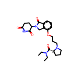 CCN(CC)C(=O)[C@H]1CCCN1CCCOc1cccc2c1CN(C1CCC(=O)NC1=O)C2=O